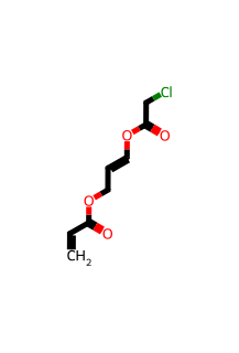 C=CC(=O)OCC=COC(=O)CCl